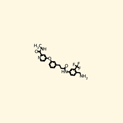 CNC(=O)c1cc(Oc2cccc(CCC(=O)Nc3ccc(CN)c(C(F)(F)F)c3)c2)ccn1